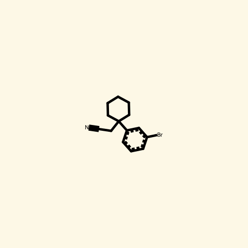 N#CCC1(c2cccc(Br)c2)CCCCC1